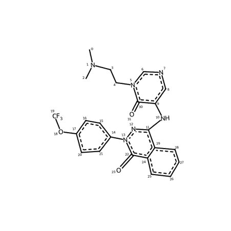 CN(C)CCn1cncc(Nc2nn(-c3ccc(OC(F)(F)F)cc3)c(=O)c3ccccc23)c1=O